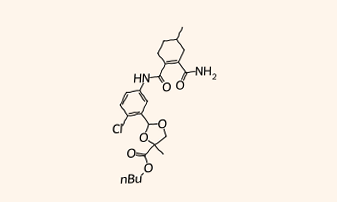 CCCCOC(=O)C1(C)COC(c2cc(NC(=O)C3=C(C(N)=O)CC(C)CC3)ccc2Cl)O1